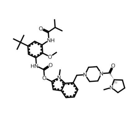 COc1c(NC(=O)Oc2cc3cccc(CN4CCN(C(=O)[C@@H]5CCCN5C)CC4)c3n2C)cc(C(C)(C)C)cc1NC(=O)C(C)C